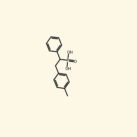 Cc1ccc(CC(c2ccccc2)P(=O)(O)O)cc1